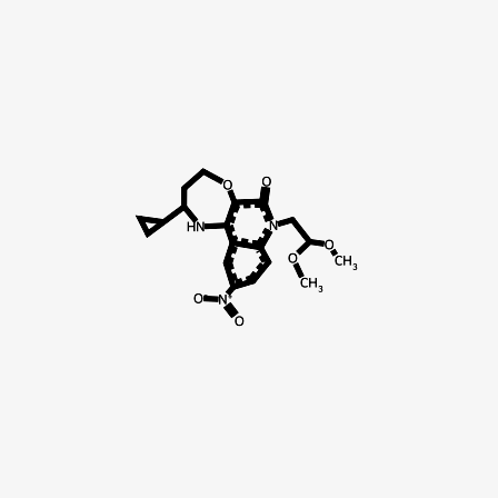 COC(Cn1c(=O)c2c(c3cc([N+](=O)[O-])ccc31)NC(C1CC1)CCO2)OC